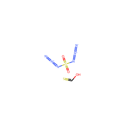 OC=S.[N-]=[N+]=NS(=O)(=O)N=[N+]=[N-]